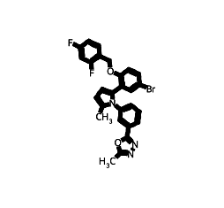 Cc1nnc(-c2cccc(-n3c(C)ccc3-c3cc(Br)ccc3OCc3ccc(F)cc3F)c2)o1